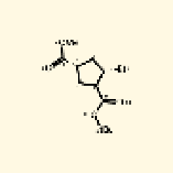 CC[C@H]1C[C@@H](C(=O)OC)CC1C(=O)OC(C)(C)C